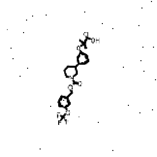 CC(C)(Oc1cccc(C2CCCN(C(=O)OCc3cccc(OC(F)(F)F)c3)C2)c1)C(=O)O